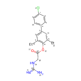 CCc1cc(-c2ccc(Cl)cc2)cc(CC)c1OC(=O)CNC(=N)N